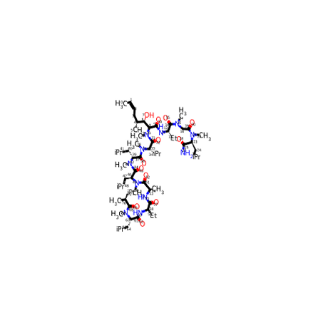 C/C=C\C[C@@H](C)[C@H](O)C(C(=O)N[C@@H](CC)C(=O)N(C)CC(=O)N(C)[C@@H](CC(C)C)C(N)=O)N(C)C(=O)[C@H](C(C)C)N(C)C(=O)[C@@H](CC(C)C)N(C)C(=O)[C@H](CC(C)C)N(C)C(=O)[C@H](C)NC(=O)C(CC)NC(=O)[C@H](CC(C)C)N(C)C(=O)[C@@H](C)C(C)C